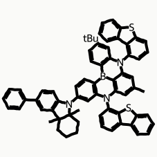 Cc1cc2c3c(c1)N(c1cccc4sc5ccccc5c14)c1cc(C(C)(C)C)ccc1B3c1ccc(N3c4ccc(-c5ccccc5)cc4C4(C)CCCCC34C)cc1N2c1cccc2c1sc1ccccc12